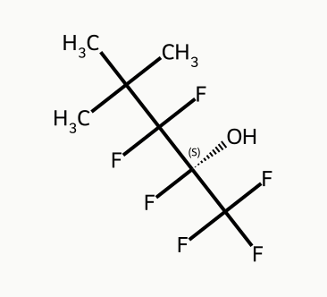 CC(C)(C)C(F)(F)[C@](O)(F)C(F)(F)F